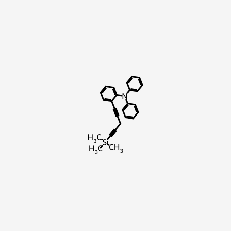 C[Si](C)(C)C#CCC#Cc1ccccc1N(c1ccccc1)c1ccccc1